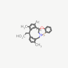 CC(=O)c1cc(C)c2cc1[C@@H]1CN(Cc3cc(ccc3C)C2CC(=O)O)Sc2ccccc2O1